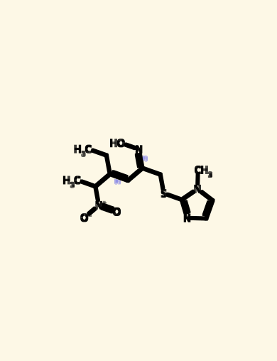 CC/C(=C\C(CSc1nccn1C)=N/O)C(C)[N+](=O)[O-]